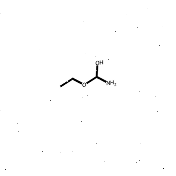 CCOC(N)O